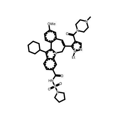 CCn1ncc(C(=O)N2CCN(C)CC2)c1C1=Cc2cc(OC)ccc2-c2c(C3CCCCC3)c3ccc(C(=O)NS(=O)(=O)N4CCCC4)cc3n2C1